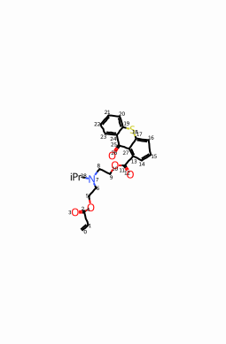 C=CC(=O)OCCN(CCOC(=O)c1cccc2sc3ccccc3c(=O)c12)C(C)C